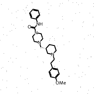 COc1ccc(CCN2CCC[C@@H](CN3CCN(C(=O)Nc4ccccc4)CC3)C2)cc1